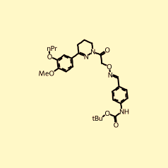 CCCOc1cc(C2=NN(C(=O)CON=Cc3ccc(NC(=O)OC(C)(C)C)cc3)CCC2)ccc1OC